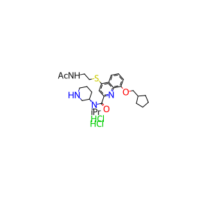 CC(=O)NCCSc1cc(C(=O)N(C(C)C)[C@@H]2CCCNC2)nc2c(OCC3CCCC3)cccc12.Cl.Cl